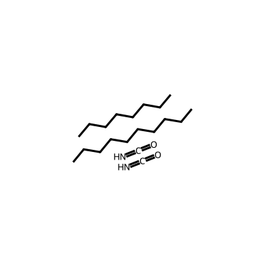 CCCCCCCC.CCCCCCCCCC.N=C=O.N=C=O